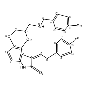 O=C1Nc2ccc3c(c2C1=CCc1ccc(F)cc1)OC(CNCc1ccc(F)cc1)CO3